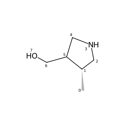 C[C@H]1CNCC1CO